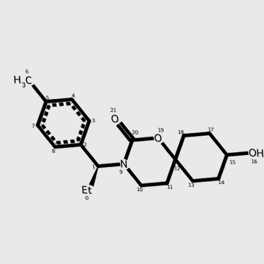 CC[C@@H](c1ccc(C)cc1)N1CCC2(CCC(O)CC2)OC1=O